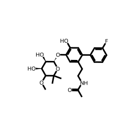 COC1[C@@H](O)[C@@H](O)[C@H](Oc2cc(CCNC(C)=O)c(-c3cccc(F)c3)cc2O)OC1(C)C